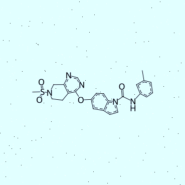 Cc1cccc(NC(=O)n2ccc3cc(Oc4ncnc5c4CCN(S(C)(=O)=O)C5)ccc32)c1